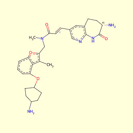 Cc1c(CN(C)C(=O)/C=C/c2cnc3c(c2)CC[C@H](N)C(=O)N3)oc2cccc(OC3CCC(N)CC3)c12